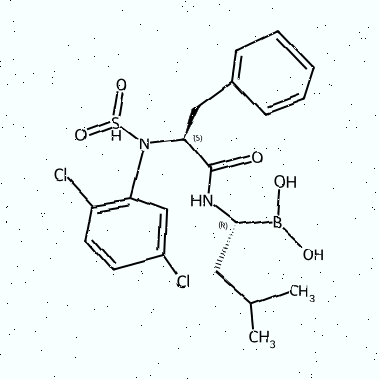 CC(C)C[C@H](NC(=O)[C@H](Cc1ccccc1)N(c1cc(Cl)ccc1Cl)[SH](=O)=O)B(O)O